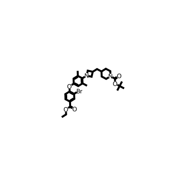 CCOC(=O)c1ccc(Oc2cc(C)c(N3CC(CC4CCN(C(=O)OC(C)(C)C)CC4)C3)c(C)c2)c(Br)c1